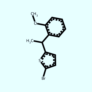 COc1ccccc1C(C)c1ccc(Br)s1